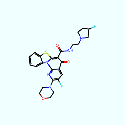 O=C(NCCN1CCC(F)C1)c1c(=O)c2cc(F)c(N3CCOCC3)nc2n2c1sc1ccccc12